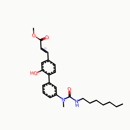 CCCCCCCNC(=O)N(C)c1cccc(-c2ccc(/C=C/C(=O)OC)cc2O)c1